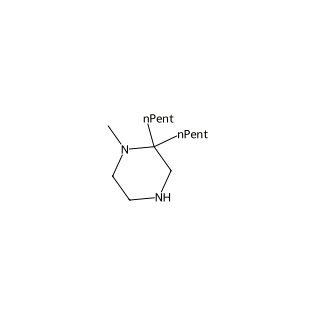 CCCCCC1(CCCCC)CNCCN1C